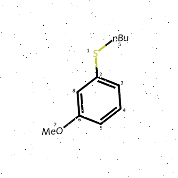 [CH2]CCCSc1cccc(OC)c1